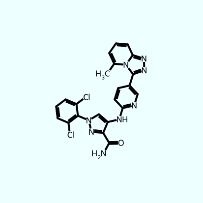 Cc1cccc2nnc(-c3ccc(Nc4cn(-c5c(Cl)cccc5Cl)nc4C(N)=O)nc3)n12